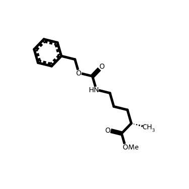 COC(=O)[C@@H](C)CCCNC(=O)OCc1ccccc1